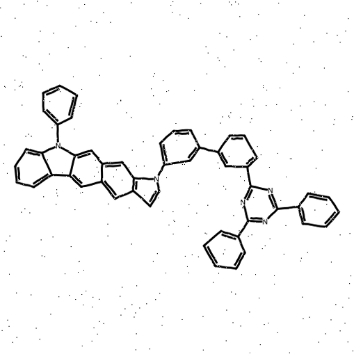 c1ccc(-c2nc(-c3ccccc3)nc(-c3cccc(-c4cccc(-n5ccc6cc7cc8c9ccccc9n(-c9ccccc9)c8cc7cc65)c4)c3)n2)cc1